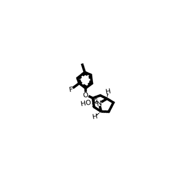 Cc1ccc(OC2C[C@H]3CC[C@@H](C2)N3C(=O)O)c(F)c1